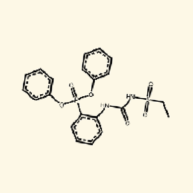 CCS(=O)(=O)NC(=O)Nc1ccccc1P(=O)(Oc1ccccc1)Oc1ccccc1